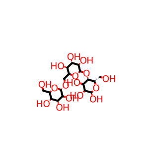 OCC1O[C@H](OCC2OC(O[C@H]3C(O)C(O)[C@H](O)O[C@H]3CO)[C@H](O)[C@@H](O)[C@@H]2O)C(O)[C@@H](O)[C@H]1O